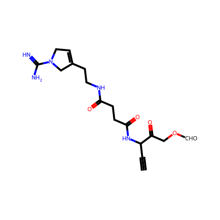 C#CC(NC(=O)CCC(=O)NCCC1=CCN(C(=N)N)C1)C(=O)COC=O